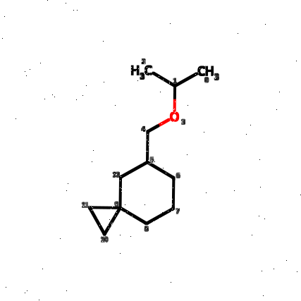 CC(C)OCC1CCCC2(CC2)C1